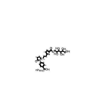 CCCCC[C@H](O)c1ccc(N2C(=O)CC[C@@H]2CCCc2ccc(C(=O)OC[C@@H](O)[C@H](O)[C@H](O)[C@H](O)CO)s2)cc1